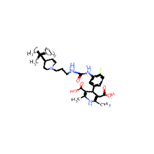 CC1=C(C(=O)O)C(c2ccc(F)c(NC(=O)NCCCN3CCC(C(C)(C)C)CC3)c2)C(C(=O)O)=C(C)N1